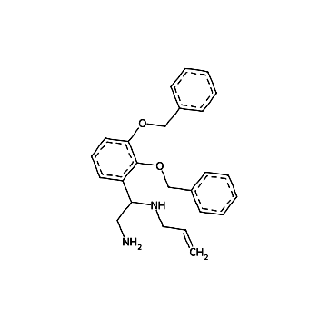 C=CCNC(CN)c1cccc(OCc2ccccc2)c1OCc1ccccc1